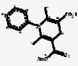 COC(=O)C1=C(C)N(c2ccncc2)C(C)=C(C(=O)O)C1